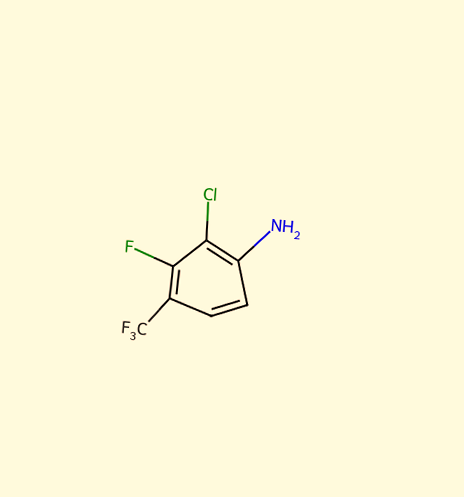 Nc1ccc(C(F)(F)F)c(F)c1Cl